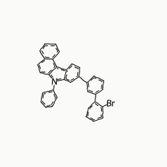 Brc1ccccc1-c1cccc(-c2ccc3c4c5ccccc5ccc4n(-c4ccccc4)c3c2)c1